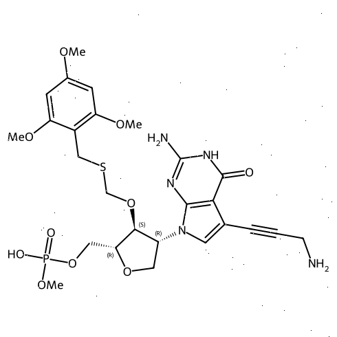 COc1cc(OC)c(CSCO[C@H]2[C@H](n3cc(C#CCN)c4c(=O)[nH]c(N)nc43)CO[C@@H]2COP(=O)(O)OC)c(OC)c1